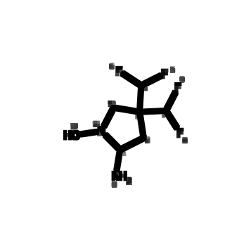 NC1CC(C(F)F)(C(F)F)CN1O